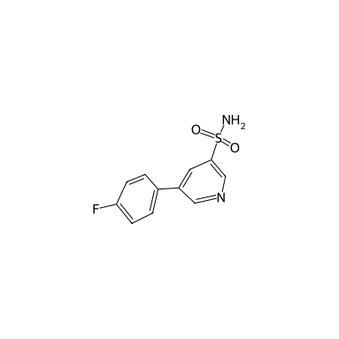 NS(=O)(=O)c1cncc(-c2ccc(F)cc2)c1